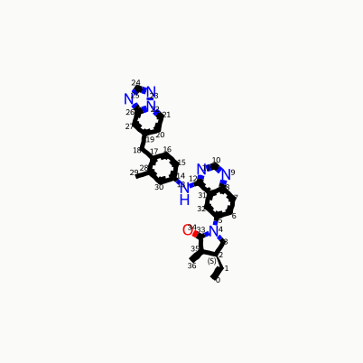 C=C[C@@H]1CN(c2ccc3ncnc(Nc4ccc(Cc5ccn6ncnc6c5)c(C)c4)c3c2)C(=O)C1=C